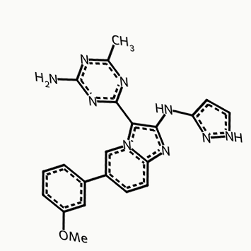 COc1cccc(-c2ccc3nc(Nc4cc[nH]n4)c(-c4nc(C)nc(N)n4)n3c2)c1